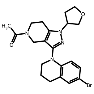 CC(=O)N1CCc2c(c(N3CCCc4cc(Br)ccc43)nn2C2CCOC2)C1